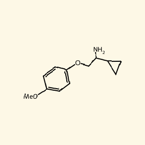 COc1ccc(OCC(N)C2CC2)cc1